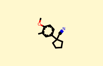 COc1ccc(C2(C#N)CCCC2)cc1C